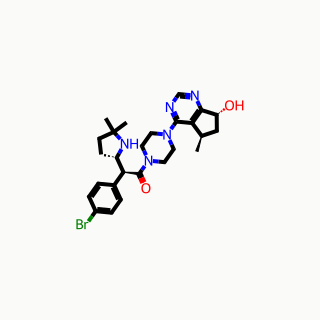 C[C@@H]1C[C@@H](O)c2ncnc(N3CCN(C(=O)[C@@H](c4ccc(Br)cc4)[C@@H]4CCC(C)(C)N4)CC3)c21